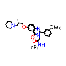 CCCNC(=O)Cn1c(-c2cccc(OC)c2)nc2ccc(OC[C@@H](C)CN3CCCCC3)cc2c1=O